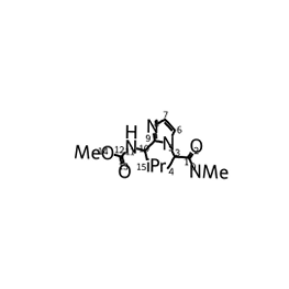 CNC(=O)C(C)n1ccnc1C(NC(=O)OC)C(C)C